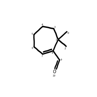 CC1(C)CCCCC=C1C=O